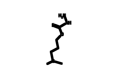 CN(C)CCCOC(=S)NN